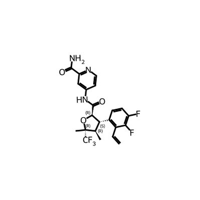 C=Cc1c([C@@H]2[C@@H](C)[C@](C)(C(F)(F)F)O[C@H]2C(=O)Nc2ccnc(C(N)=O)c2)ccc(F)c1F